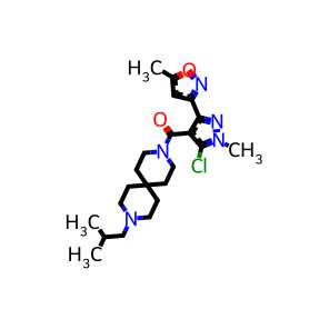 Cc1cc(-c2nn(C)c(Cl)c2C(=O)N2CCC3(CCN(CC(C)C)CC3)CC2)no1